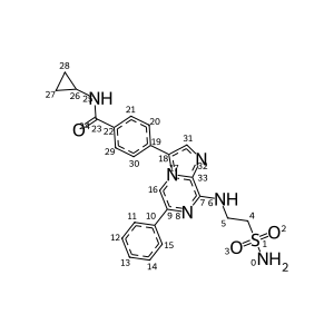 NS(=O)(=O)CCNc1nc(-c2ccccc2)cn2c(-c3ccc(C(=O)NC4CC4)cc3)cnc12